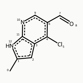 Cc1cc2c(Cl)c(C=O)cnc2[nH]1